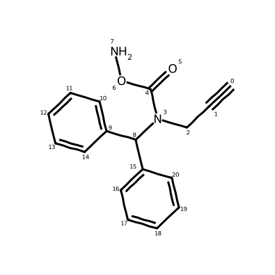 C#CCN(C(=O)ON)C(c1ccccc1)c1ccccc1